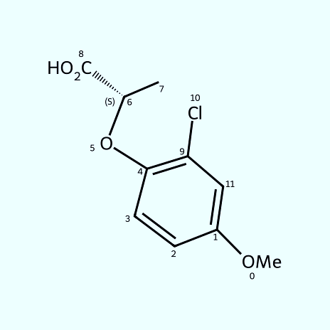 COc1ccc(O[C@@H](C)C(=O)O)c(Cl)c1